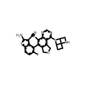 N#Cc1c(N)sc2ccc(F)c(-c3c4c(c5c(N6C7CCC78NCC68)ncnc5c3F)COC4)c12